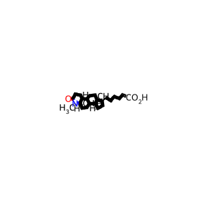 CN1C(=O)CC[C@]2(C)[C@H]3CC[C@]4(C)[C@@H](CCCCCC(=O)O)CC[C@H]4[C@@H]3CC[C@@H]12